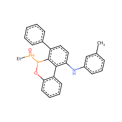 CC[PH](=O)P1Oc2ccccc2-c2c(Nc3cccc(C)c3)ccc(-c3ccccc3)c21